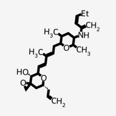 C=CC[C@@H]1CC2(CO2)[C@H](O)C(/C=C/C(C)=C/CC2OC(C)C(NC(=C)/C=C\CC)CC2C)O1